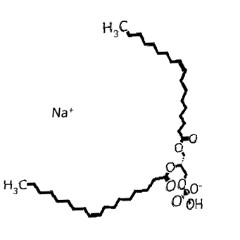 CCCCCCCC/C=C\CCCCCCCC(=O)OC[C@H](COP(=O)([O-])O)OC(=O)CCCCCCC/C=C\CCCCCCCC.[Na+]